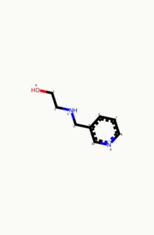 OCCNCc1c[c]cnc1